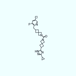 O=C(N1CC2(CC(Cc3ncc(Cl)cc3F)C2)C1)N1CC2(CC(c3nc(C4CC4)n[nH]3)C2)C1